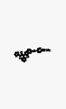 CC(=O)Nc1ccc(C#Cc2ccc3c(c2)C(=O)N(C(C(=O)Nc2nccs2)c2ccccc2)C3)cn1